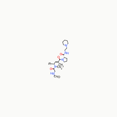 C/C(=C\[C@H](C(C)C)N(C)C(=O)CNC=O)C(=O)N1CCC[C@H]1C(=O)NCCN1CCCCC1